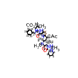 CC[C@H](C)C(NC(=O)[C@H]1CCCCN1C)C(=O)N(C)[C@H](C[C@@H](OC(C)=O)c1nc(C(=O)NN(Cc2ccccc2)CC(C)C(=O)O)cs1)C(C)C